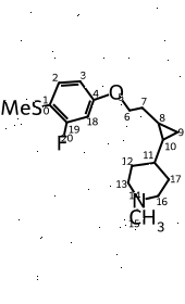 CSc1ccc(OCCC2CC2C2CCN(C)CC2)cc1F